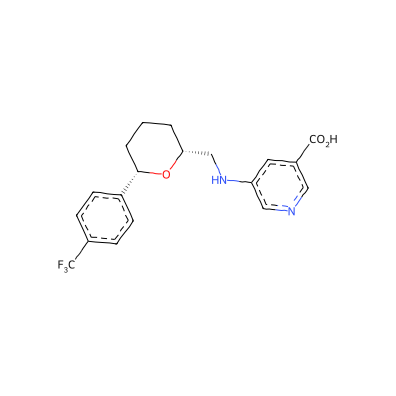 O=C(O)c1cncc(NC[C@H]2CCC[C@@H](c3ccc(C(F)(F)F)cc3)O2)c1